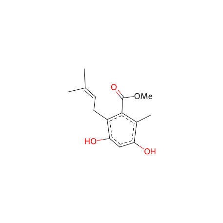 COC(=O)c1c(C)c(O)cc(O)c1CC=C(C)C